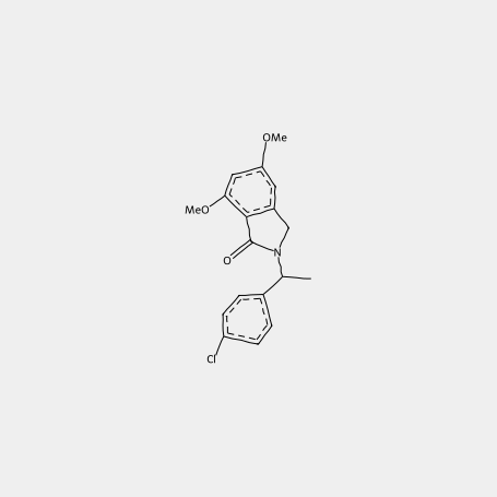 COc1cc2c(c(OC)c1)C(=O)N(C(C)c1ccc(Cl)cc1)C2